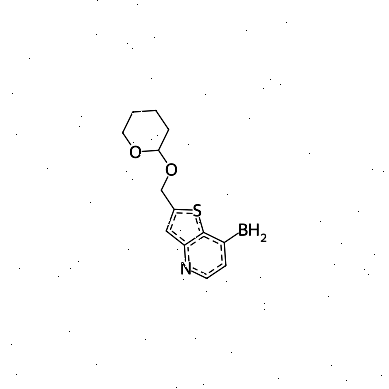 Bc1ccnc2cc(COC3CCCCO3)sc12